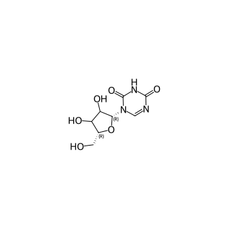 O=c1ncn([C@@H]2O[C@H](CO)C(O)C2O)c(=O)[nH]1